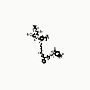 Cc1ncsc1-c1ccc(CNC(=O)[C@@H]2C[C@@H](O)CN2C(=O)C(NC(=O)C2(F)CC2)C(C)(C)C)c(OCCCCCC(=O)N2CC([C@@H](c3ccccc3)n3cc(NC(=O)c4n[nH]c5c4C[C@@H]4C(F)(F)[C@]4(C)C5)cn3)C2)c1